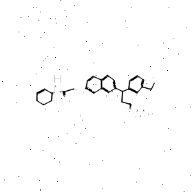 COC(=O)CC(c1ccc2c(c1)CCO2)c1ccc2ccc(OCC(=O)NC3C=CCCC3)cc2c1